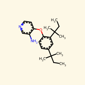 CCC(C)(C)c1ccc(Oc2ccncc2N)c(C(C)(C)CC)c1